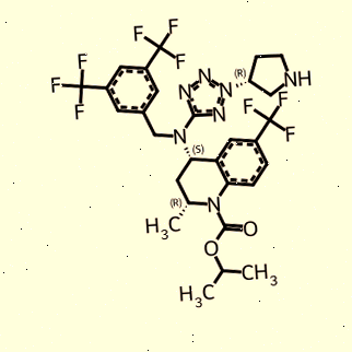 CC(C)OC(=O)N1c2ccc(C(F)(F)F)cc2[C@@H](N(Cc2cc(C(F)(F)F)cc(C(F)(F)F)c2)c2nnn([C@@H]3CCNC3)n2)C[C@H]1C